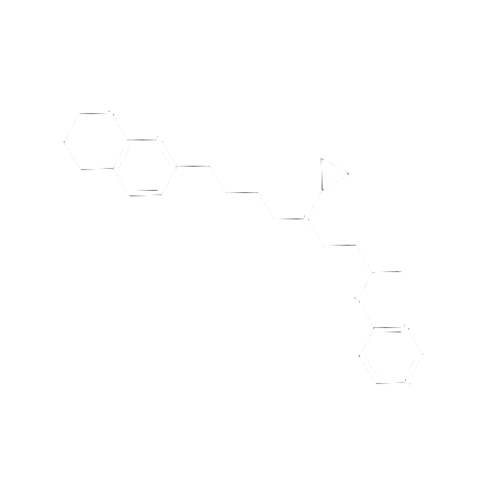 O=C(O)C(CCN(CCCCc1ccc2c(n1)NCCC2)C1CC1)Nc1ccncn1